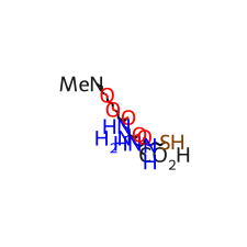 CNCCOCCOCCC(=O)NC[C@H](N)C(=O)N[C@@H](CC(=O)O)C(=O)NCCS